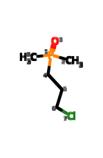 CP(C)(=O)CCCCl